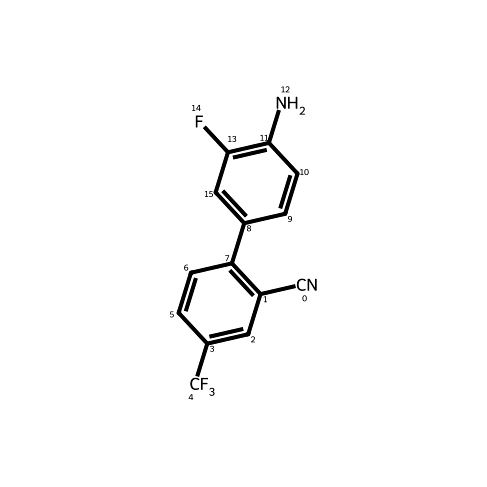 N#Cc1cc(C(F)(F)F)ccc1-c1ccc(N)c(F)c1